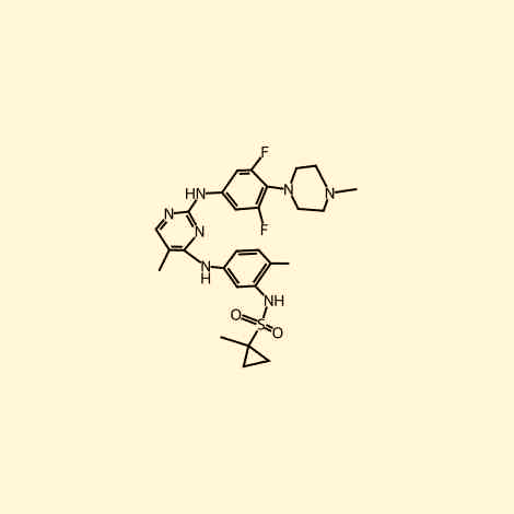 Cc1ccc(Nc2nc(Nc3cc(F)c(N4CCN(C)CC4)c(F)c3)ncc2C)cc1NS(=O)(=O)C1(C)CC1